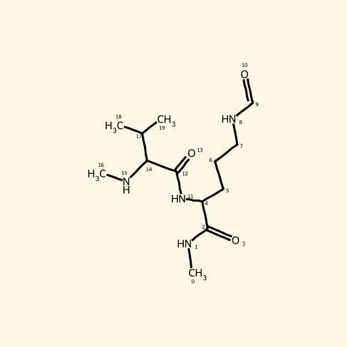 CNC(=O)C(CCCNC=O)NC(=O)C(NC)C(C)C